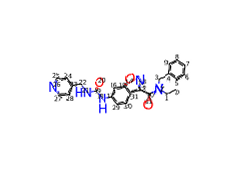 CCN(Cc1ccccc1)C(=O)c1noc2cc(NC(=O)NCc3ccncc3)ccc12